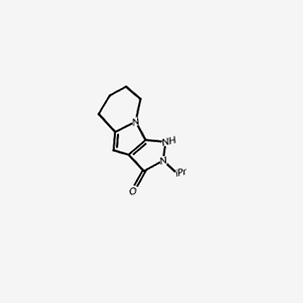 CC(C)n1[nH]c2c(cc3n2CCCC3)c1=O